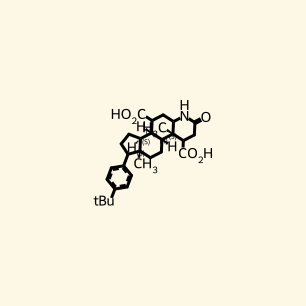 CC(C)(C)c1ccc(C2CC[C@H]3[C@@H]4C(C(=O)O)CC5NC(=O)CC(C(=O)O)[C@]5(C)[C@@H]4CC[C@]23C)cc1